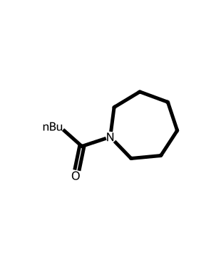 CCCCC(=O)N1CCCCCC1